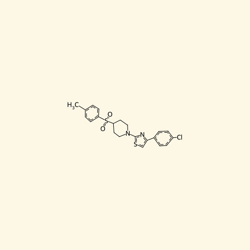 Cc1ccc(S(=O)(=O)C2CCN(c3nc(-c4ccc(Cl)cc4)cs3)CC2)cc1